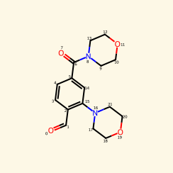 O=Cc1ccc(C(=O)N2CCOCC2)cc1N1CCOCC1